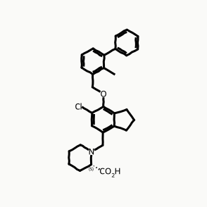 Cc1c(COc2c(Cl)cc(CN3CCCC[C@H]3C(=O)O)c3c2CCC3)cccc1-c1ccccc1